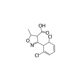 CC1ON=C(C2C(Cl)=CC=CC2Cl)C1C(=O)O